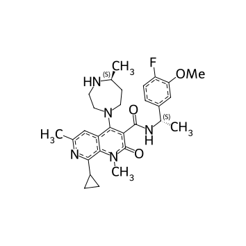 COc1cc([C@H](C)NC(=O)c2c(N3CCN[C@@H](C)CC3)c3cc(C)nc(C4CC4)c3n(C)c2=O)ccc1F